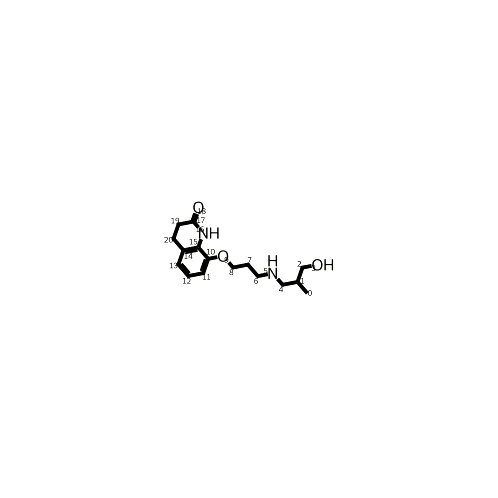 CC(CO)CNCCCOc1cccc2c1NC(=O)CC2